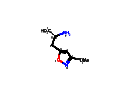 COc1cc(C[C@@H](N)C(=O)O)on1